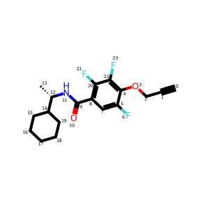 C#CCOc1c(F)cc(C(=O)N[C@@H](C)C2CCCCC2)c(F)c1F